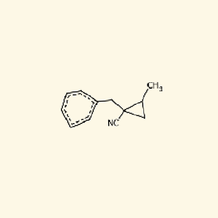 CC1CC1(C#N)Cc1ccccc1